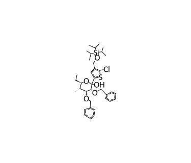 CC[C@H]1OC(O)(c2cc(CO[Si](C(C)C)(C(C)C)C(C)C)c(Cl)s2)[C@H](OCc2ccccc2)[C@@H](OCc2ccccc2)[C@@H]1C